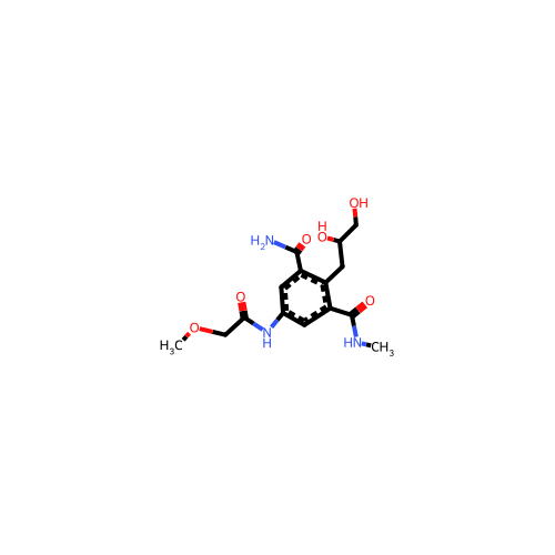 CNC(=O)c1cc(NC(=O)COC)cc(C(N)=O)c1CC(O)CO